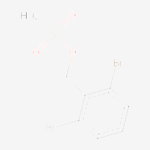 CS(=O)(=O)OCc1c(Br)cccc1Br